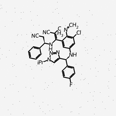 C=Nc1c(Cl)cc(N[C@@H](c2ccc(F)cc2)c2cn(C(C)C)nn2)cc1/C(N[C@H](CC#N)c1ccccc1)=C(\C)C#N